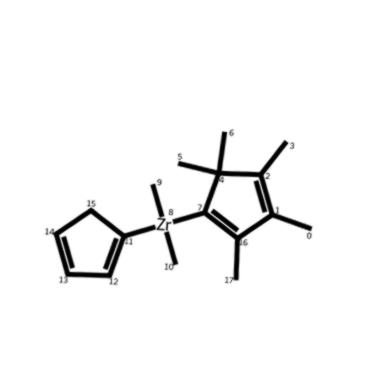 CC1=C(C)C(C)(C)[C]([Zr]([CH3])([CH3])[C]2=CC=CC2)=C1C